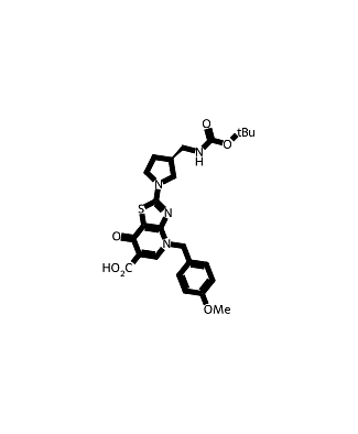 COc1ccc(Cn2cc(C(=O)O)c(=O)c3sc(N4CC[C@@H](CNC(=O)OC(C)(C)C)C4)nc32)cc1